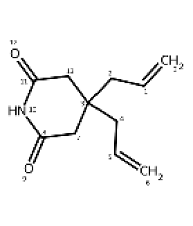 C=CCC1(CC=C)CC(=O)NC(=O)C1